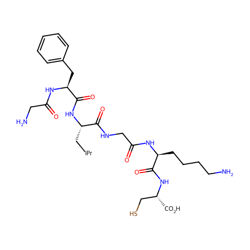 CC(C)C[C@H](NC(=O)[C@H](Cc1ccccc1)NC(=O)CN)C(=O)NCC(=O)N[C@@H](CCCCN)C(=O)N[C@@H](CS)C(=O)O